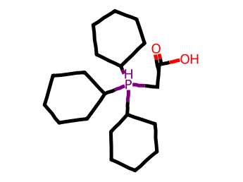 O=C(O)C[PH](C1CCCCC1)(C1CCCCC1)C1CCCCC1